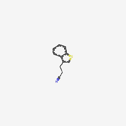 N#CCCc1csc2ccccc12